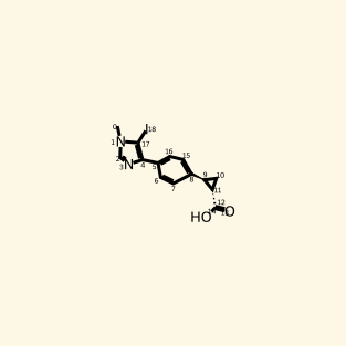 Cn1cnc(-c2ccc([C@H]3C[C@@H]3C(=O)O)cc2)c1I